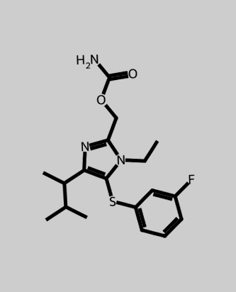 CCn1c(COC(N)=O)nc(C(C)C(C)C)c1Sc1cccc(F)c1